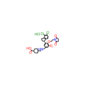 COc1cc(CNCC2CCC(C(=O)O)CC2)cc([C@H]2CCc3c2ccc(Cl)c3Cl)c1OCCN1C(=O)CCC1=O.Cl